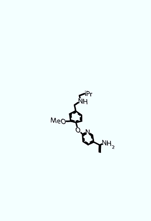 C=C(N)c1ccc(Oc2ccc(CNCC(C)C)cc2OC)nc1